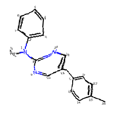 CC(=O)N(c1ccccc1)c1ncc(-c2ccc(C)cc2)cn1